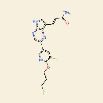 NC(=O)C=Cc1c[nH]c2ncc(-c3cnc(OCCCF)c(F)c3)nc12